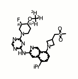 [2H]C([2H])([2H])O[C@H]1CCN(c2ncnc(Nc3cc4c(C(C)C)ccc(N5CC(CS(C)(=O)=O)C5)c4cn3)n2)C[C@H]1F